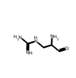 N=C(N)NCC(N)C=O